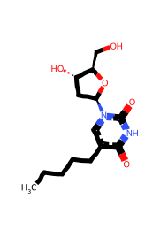 CCCCCc1cn([C@H]2C[C@H](O)[C@@H](CO)O2)c(=O)[nH]c1=O